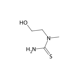 CN(CCO)C(N)=S